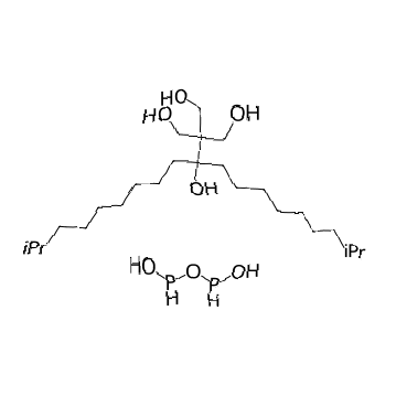 CC(C)CCCCCCCC(O)(CCCCCCCC(C)C)C(CO)(CO)CO.OPOPO